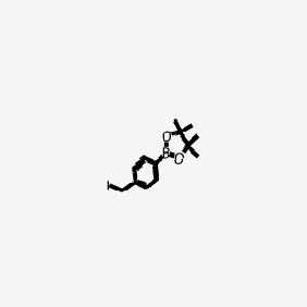 CC1(C)OB(c2ccc(CI)cc2)OC1(C)C